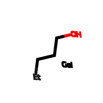 CCCCCO.[Ge]